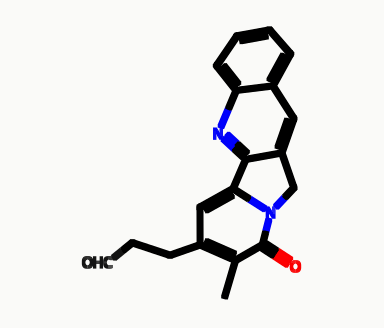 Cc1c(CCC=O)cc2n(c1=O)Cc1cc3ccccc3nc1-2